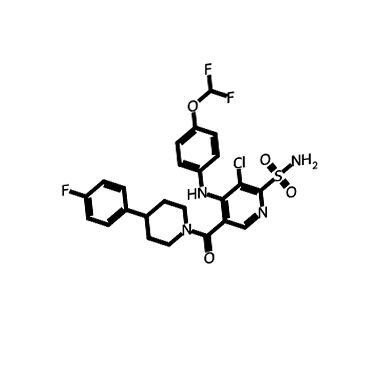 NS(=O)(=O)c1ncc(C(=O)N2CCC(c3ccc(F)cc3)CC2)c(Nc2ccc(OC(F)F)cc2)c1Cl